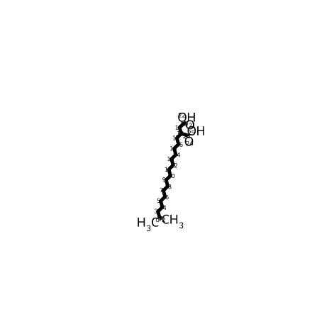 CC(C)CCCCCCCCCCCCCCCC(CC(=O)O)C(=O)O